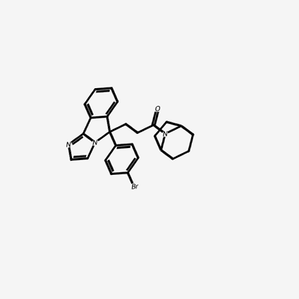 O=C(CCC1(c2ccc(Br)cc2)c2ccccc2-c2nccn21)N1C2CCCC1CC2